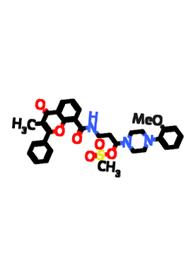 COc1ccccc1N1CCN(C(CCNC(=O)c2cccc3c(=O)c(C)c(-c4ccccc4)oc23)OS(C)(=O)=O)CC1